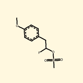 COc1ccc(CC(F)OS(C)(=O)=O)cc1